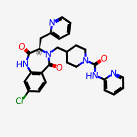 O=C1Nc2cc(Cl)ccc2C(=O)N(CC2CCN(C(=O)Nc3ccccn3)CC2)[C@@H]1Cc1ccccn1